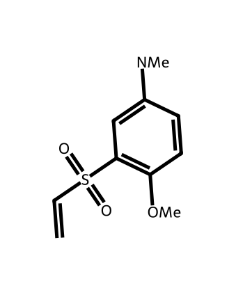 C=CS(=O)(=O)c1cc(NC)ccc1OC